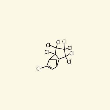 ClC1=CC2CC1C1(Cl)C2C(Cl)(Cl)C(Cl)(Cl)C1(Cl)Cl